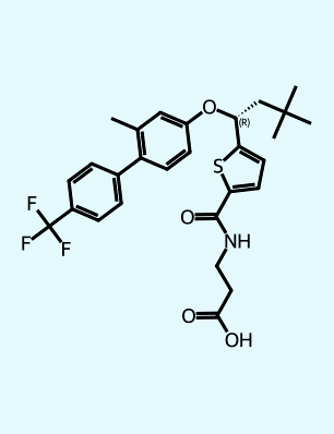 Cc1cc(O[C@H](CC(C)(C)C)c2ccc(C(=O)NCCC(=O)O)s2)ccc1-c1ccc(C(F)(F)F)cc1